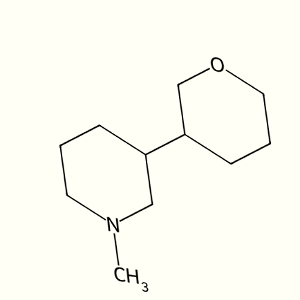 CN1CCCC(C2CCCOC2)C1